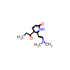 CCC(=O)c1ccc(=O)[nH]c1C=CN(C)C